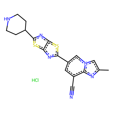 Cc1cn2cc(-c3nc4sc(C5CCNCC5)nc4s3)cc(C#N)c2n1.Cl